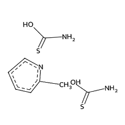 Cc1ccccn1.NC(O)=S.NC(O)=S